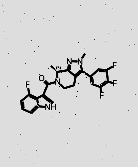 C[C@H]1c2nn(C)c(-c3cc(F)c(F)c(F)c3)c2CCN1C(=O)c1c[nH]c2cccc(F)c12